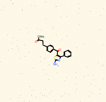 COC(=O)CCc1ccc(C(=O)c2sc(N)nc2-c2ccccc2)cc1